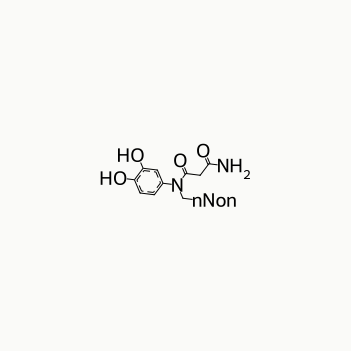 CCCCCCCCCCN(C(=O)CC(N)=O)c1ccc(O)c(O)c1